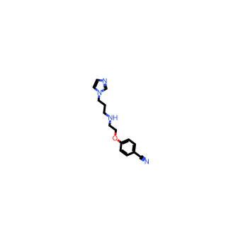 N#Cc1ccc(OCCNCCCn2ccnc2)cc1